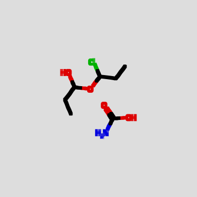 CCC(O)OC(Cl)CC.NC(=O)O